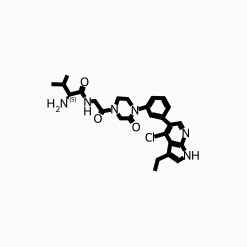 CCc1c[nH]c2ncc(-c3cccc(N4CCN(C(=O)CNC(=O)[C@@H](N)C(C)C)CC4=O)c3)c(Cl)c12